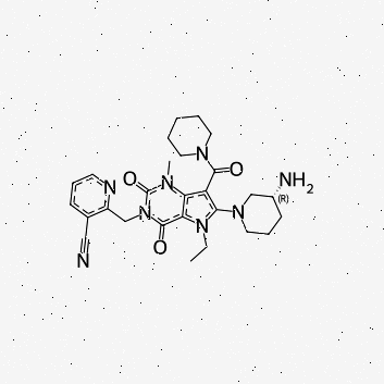 CCn1c(N2CCC[C@@H](N)C2)c(C(=O)N2CCCCC2)c2c1c(=O)n(Cc1ncccc1C#N)c(=O)n2C